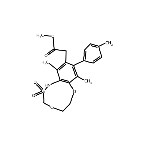 COC(=O)Cc1c(C)c2c(c(C)c1-c1ccc(C)cc1)OCCCCS(=O)(=O)N2